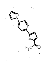 O=C(c1ccc(-c2ccc(-n3cccn3)cc2)s1)C(F)(F)F